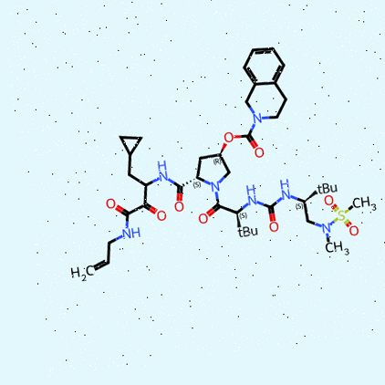 C=CCNC(=O)C(=O)C(CC1CC1)NC(=O)[C@@H]1C[C@@H](OC(=O)N2CCc3ccccc3C2)CN1C(=O)[C@@H](NC(=O)N[C@H](CN(C)S(C)(=O)=O)C(C)(C)C)C(C)(C)C